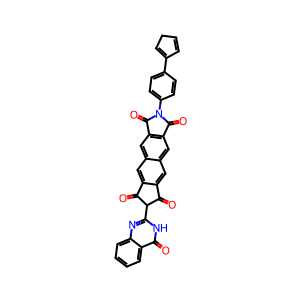 O=C1c2cc3cc4c(cc3cc2C(=O)C1c1nc2ccccc2c(=O)[nH]1)C(=O)N(c1ccc(C2=CCC=C2)cc1)C4=O